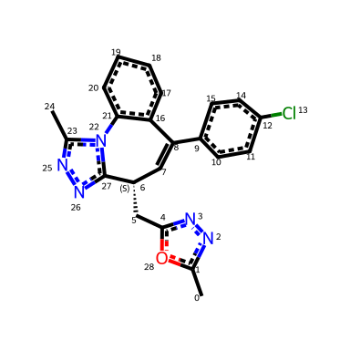 Cc1nnc(C[C@H]2C=C(c3ccc(Cl)cc3)c3ccccc3-n3c(C)nnc32)o1